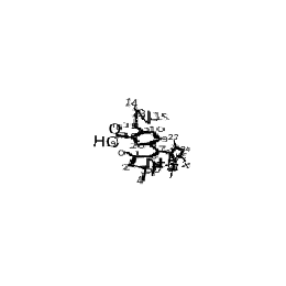 CC1=CC(C)=N/C1=C(/c1ccc(CN(C)C)c(C(=O)O)c1)c1c(C)cc(C)n1B(F)F